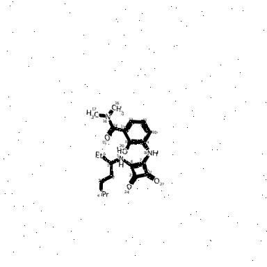 CCC(CCC(C)C)Nc1c(Nc2cccc(C(=O)N(C)C)c2O)c(=O)c1=O